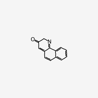 O=C1C=c2ccc3ccccc3c2=NC1